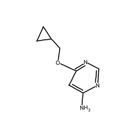 Nc1cc(OCC2CC2)ncn1